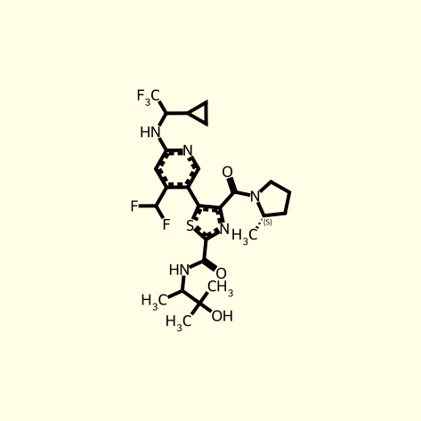 CC(NC(=O)c1nc(C(=O)N2CCC[C@@H]2C)c(-c2cnc(NC(C3CC3)C(F)(F)F)cc2C(F)F)s1)C(C)(C)O